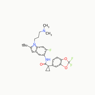 CN(C)CCCn1c(C(C)(C)C)cc2cc(NC(=O)C3(c4ccc5c(c4)OC(F)(F)O5)CC3)c(F)cc21